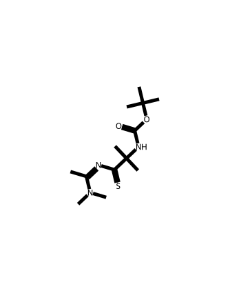 C/C(=N/C(=S)C(C)(C)NC(=O)OC(C)(C)C)N(C)C